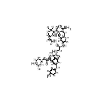 CN[C@@H](C)C(=O)N[C@H](C(=O)N1Cc2cc(NC(=O)CNC(=O)[C@]3(C)CN(C(=O)CN4CCN[C@H](C)C4)c4cc(Cc5ccc(F)cc5)ccc43)ccc2C[C@H]1C(N)=O)C(C)(C)C